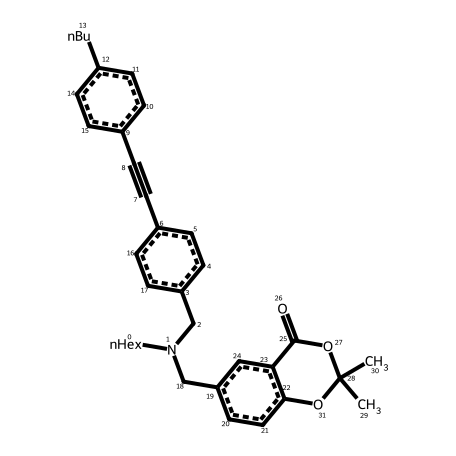 CCCCCCN(Cc1ccc(C#Cc2ccc(CCCC)cc2)cc1)Cc1ccc2c(c1)C(=O)OC(C)(C)O2